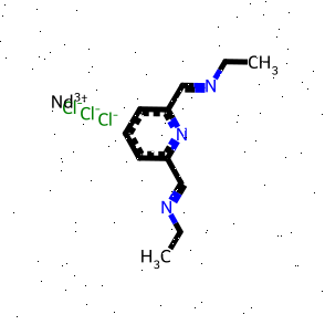 CCN=Cc1cccc(C=NCC)n1.[Cl-].[Cl-].[Cl-].[Nd+3]